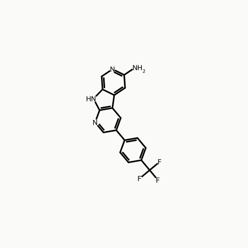 Nc1cc2c(cn1)[nH]c1ncc(-c3ccc(C(F)(F)F)cc3)cc12